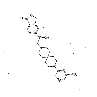 Cc1c([C@@H](O)CN2CCC3(CC2)CCN(c2cncc(N)n2)CC3)ccc2c1COC2=O